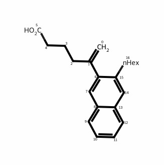 C=C(CCCC(=O)O)c1cc2ccccc2cc1CCCCCC